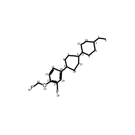 CCC1CCC(C2CCC(c3ccc(OCF)c(F)c3)CC2)CC1